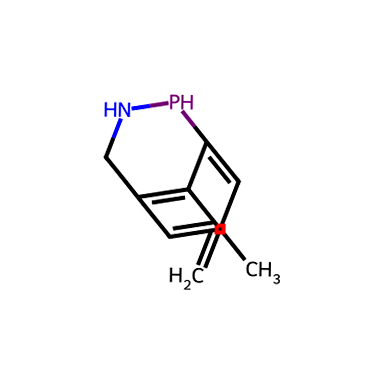 C=Cc1c2cc(C)cc1PNC2